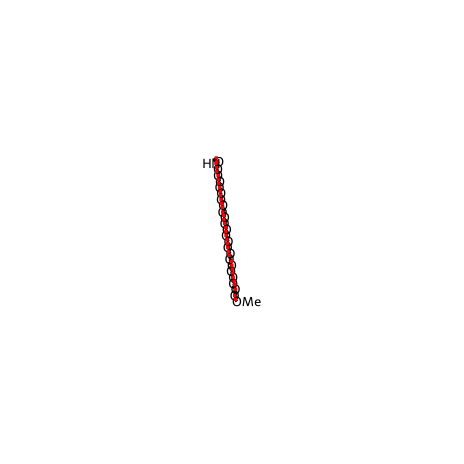 C=C(C)C(=O)NCCOCCOCCOCCOCCOCCOCCOCCOCCOCCOCCOCCOCCOCCOCCOCCOCCOCCOCCOCCOCCOCCOCCOC